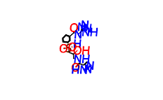 O=C(Nc1nnn[nH]1)c1cccc(S(=O)(=O)CC(O)CNC(=O)c2cnn[nH]2)c1